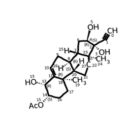 C#C[C@]1(O)[C@H](O)C[C@H]2[C@@H]3CC=C4[C@@H](O)[C@@H](OC(C)=O)CC[C@]4(C)[C@H]3CC[C@@]21C